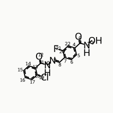 O=C(NO)c1ccc(C=NNC(=O)c2ccccc2Cl)c(F)c1